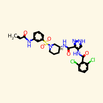 C=CC(=O)Nc1cccc(S(=O)(=O)N2CCC[C@@H](NC(=O)c3n[nH]cc3NC(=O)c3c(Cl)cccc3Cl)C2)c1